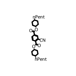 CCCCC[C@H]1CC[C@H](OC(=O)c2ccc(C(=O)O[C@H]3CC[C@H](CCCCC)CC3)c(C#N)c2)CC1